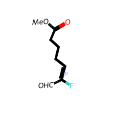 COC(=O)CCC/C=C(/F)C=O